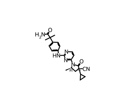 C[C@@H]1C[C@@](C#N)(C2CC2)C(=O)N1c1ccnc(Nc2ccc(C(C)(C)C(N)=O)cc2)n1